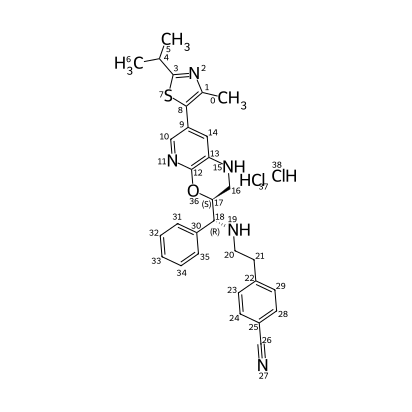 Cc1nc(C(C)C)sc1-c1cnc2c(c1)NC[C@@H]([C@H](NCCc1ccc(C#N)cc1)c1ccccc1)O2.Cl.Cl